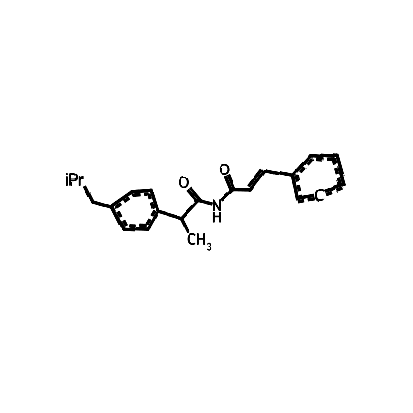 CC(C)Cc1ccc(C(C)C(=O)NC(=O)C=Cc2ccccc2)cc1